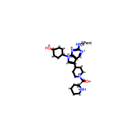 CCC[C@H](C)Nc1ncc2c(C3CCN(C(=O)[C@@H]4CCCCN4)CC3)cn(C3CCC(O)CC3)c2n1